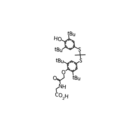 CC(C)(Sc1cc(C(C)(C)C)c(O)c(C(C)(C)C)c1)Sc1cc(C(C)(C)C)c(OCC(=O)NCC(=O)O)c(C(C)(C)C)c1